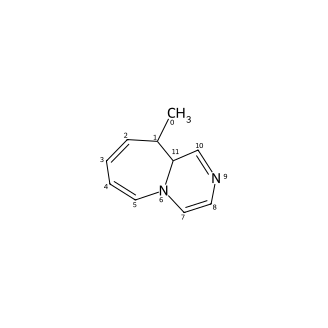 CC1C=CC=CN2C=CN=CC12